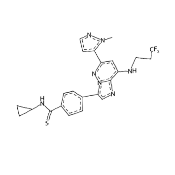 Cn1nccc1-c1cc(NCCC(F)(F)F)c2ncc(-c3ccc(C(=S)NC4CC4)cc3)n2n1